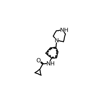 O=C(Nc1ccc(N2CCNCC2)cc1)C1CC1